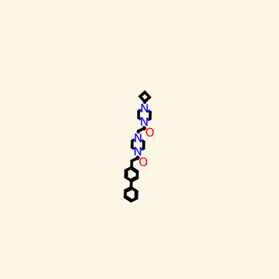 O=C(Cc1ccc(-c2ccccc2)cc1)N1CCN(CC(=O)N2CCN(C3CCC3)CC2)CC1